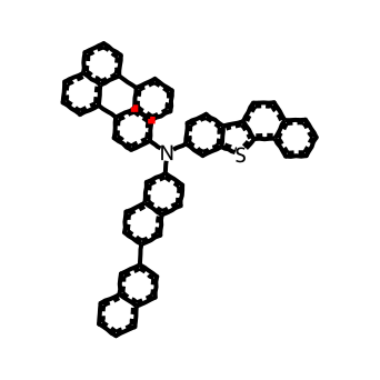 c1ccc(-c2cccc3cccc(-c4ccc(N(c5ccc6cc(-c7ccc8ccccc8c7)ccc6c5)c5ccc6c(c5)sc5c7ccccc7ccc65)cc4)c23)cc1